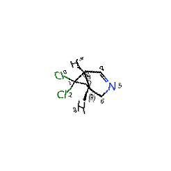 ClC1(Cl)[C@@H]2C=NC[C@@H]21